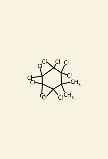 CC1(C)C(Cl)(Cl)C(Cl)(Cl)C(Cl)(Cl)C(Cl)(Cl)C1(Cl)Cl